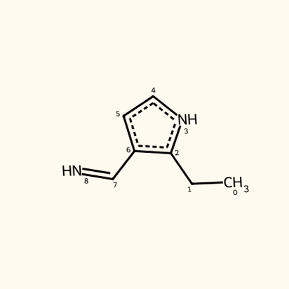 CCc1[nH]ccc1C=N